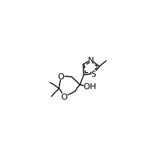 Cc1ncc(C2(O)COC(C)(C)OC2)s1